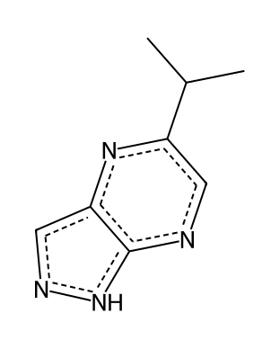 CC(C)c1cnc2[nH]ncc2n1